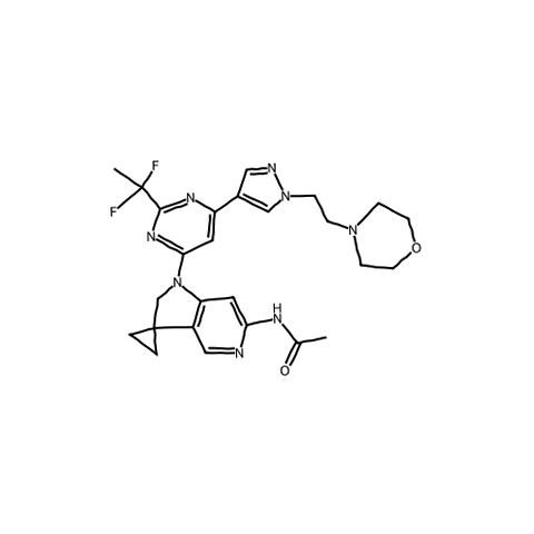 CC(=O)Nc1cc2c(cn1)C1(CC1)CN2c1cc(-c2cnn(CCN3CCOCC3)c2)nc(C(C)(F)F)n1